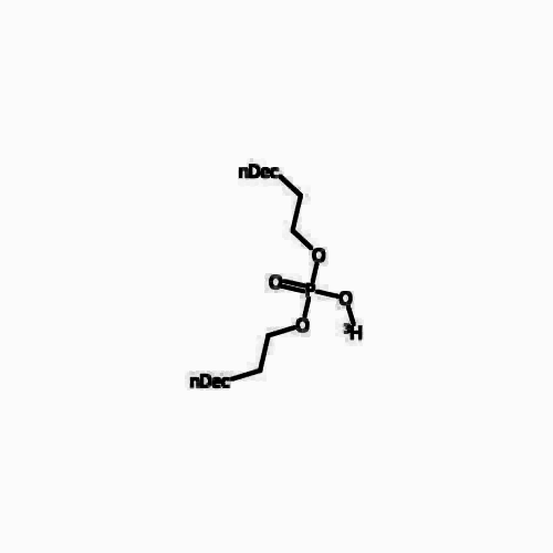 [3H]OP(=O)(OCCCCCCCCCCCC)OCCCCCCCCCCCC